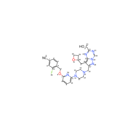 N#Cc1ccc(COc2cccc(N3CCN(Cc4nn5cnc(C(=O)O)nc5c4CC4CCO4)CC3)n2)c(F)c1